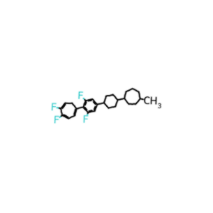 CC1CCCC(C2CCC(c3cc(F)c(C4=CC=C(F)C(F)=CC4)c(F)c3)CC2)CC1